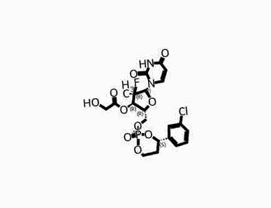 C[C@@]1(F)[C@H](OC(=O)CO)[C@@H](CO[P@@]2(=O)OCC[C@@H](c3cccc(Cl)c3)O2)O[C@H]1n1ccc(=O)[nH]c1=O